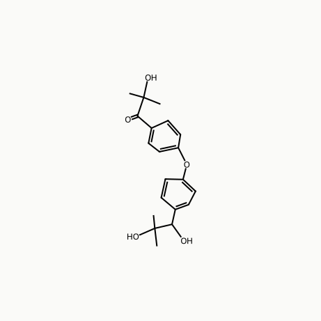 CC(C)(O)C(=O)c1ccc(Oc2ccc(C(O)C(C)(C)O)cc2)cc1